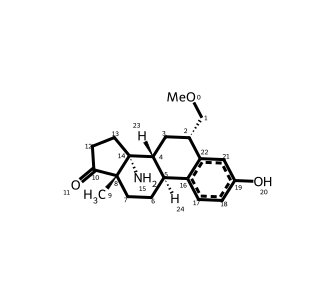 COC[C@H]1C[C@@H]2[C@H](CC[C@]3(C)C(=O)CC[C@@]23N)c2ccc(O)cc21